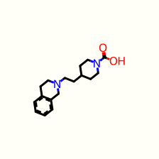 O=C(O)N1CCC(CCN2CCc3ccccc3C2)CC1